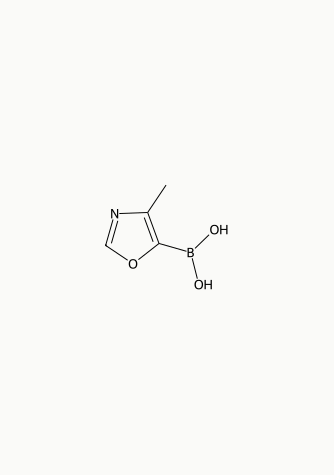 Cc1ncoc1B(O)O